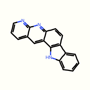 c1cnc2nc3ccc4c5ccccc5[nH]c4c3cc2c1